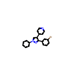 Brc1cccc(-c2nn(-c3ccccc3)cc2-c2ccncc2)c1